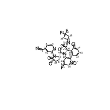 N#Cc1ccnc(N2[C@H](C(=O)N(c3cc(F)c[n+]([O-])c3)[C@H](C(=O)NC3CC(F)(F)C3)c3ccccc3Cl)CCS2(=O)=O)c1